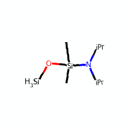 CC(C)N(C(C)C)[Si](C)(C)O[SiH3]